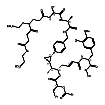 CCCNC(=O)[C@H](Cc1ccc(OC)c(Cl)c1)NC(=O)/C=C/C[C@H](OC(=O)[C@H](CC(C)C)OC(=O)CC)[C@H](C)[C@H]1O[C@@H]1c1ccc(CNC(=O)[C@H](C)NC(=O)[C@@H](NC(=O)CCN(CCC(=O)O)C(=O)CCC(=O)NCCS(=O)(=O)O)C(C)C)cc1